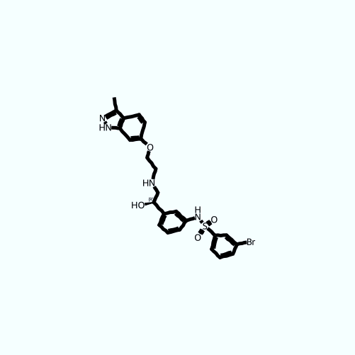 Cc1n[nH]c2cc(OCCNC[C@H](O)c3cccc(NS(=O)(=O)c4cccc(Br)c4)c3)ccc12